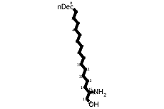 CCCCCCCCCCCCCCCCCCCCCCCCC(N)CO